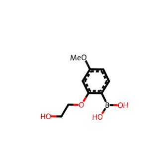 COc1ccc(B(O)O)c(OCCO)c1